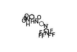 CN(c1cc(C(F)(F)F)nc(C(F)(F)F)c1)[C@H]1CC[C@@H](NC(=O)c2cccc(NS(C)(=O)=O)c2)CC1